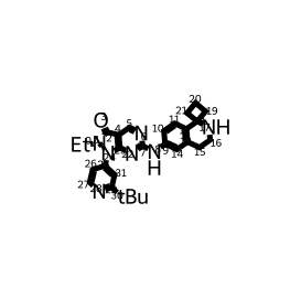 CCn1c(=O)c2cnc(Nc3ccc4c(c3)CCNC43CCC3)nc2n1-c1ccnc(C(C)(C)C)c1